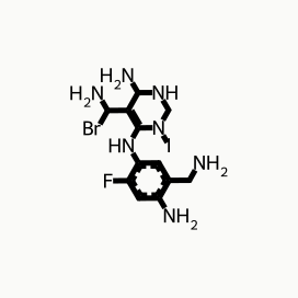 NCc1cc(NC2=C(C(N)Br)C(N)NCN2I)c(F)cc1N